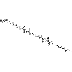 CCCCCCCCCCCC(=O)NCCNCCNCCNCCNCCNC(=O)CCCCCCCCCCC